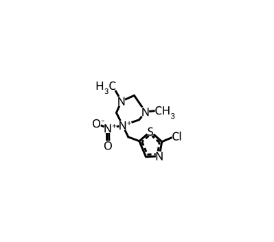 CN1CN(C)C[N+](Cc2cnc(Cl)s2)([N+](=O)[O-])C1